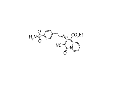 CCOC(=O)c1c(NCCc2ccc(S(N)(=O)=O)cc2)c(C#N)c(=O)n2ccccc12